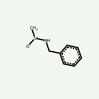 C[S+]([O-])NCc1ccccc1